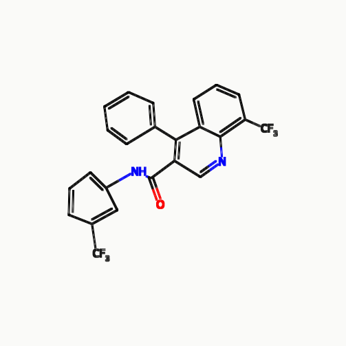 O=C(Nc1cccc(C(F)(F)F)c1)c1cnc2c(C(F)(F)F)cccc2c1-c1ccccc1